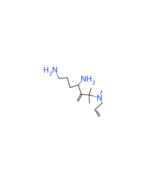 C=CCN(C)C(C)(C)C(=C)C(N)CCCN